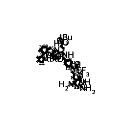 CC(C)(C)OC(=O)CC[C@H](NC(=O)c1ccc(N(CCCc2c(N)nc(N)[nH]c2=O)C(=O)C(F)(F)F)cc1)C(=O)N[C@@H](Cc1cccc(C2CCCC2)c1)C(=O)OC(C)(C)C